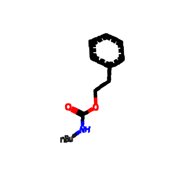 [CH2]CCCNC(=O)OCCc1ccccc1